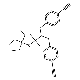 C#Cc1ccc(CC(Cc2ccc(C#C)cc2)C(C)(C)O[Si](CC)(CC)CC)cc1